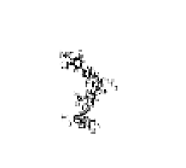 C[C@@H](Cn1ccc(-c2cc(F)c(C#N)c(Cl)c2)n1)NC(=O)c1cn(COCC[Si](C)(C)C)c(C2CC2)n1